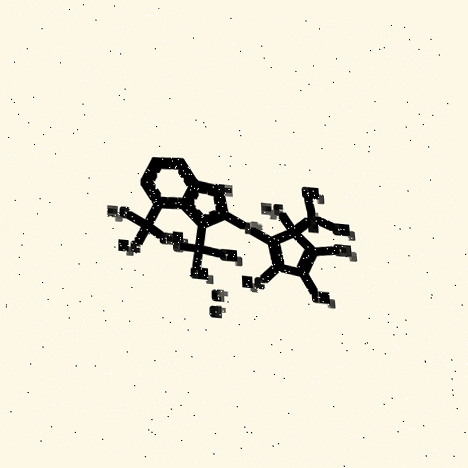 CC1=C(C)C(C)([SiH](C)C)[C]([Ti+2][c]2[nH]c3cccc(C(C)(C)C)c3c2C(C)(C)C)=C1C.[Cl-].[Cl-]